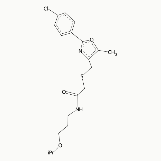 Cc1oc(-c2ccc(Cl)cc2)nc1CSCC(=O)NCCCOC(C)C